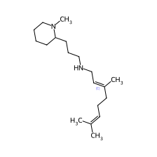 CC(C)=CCC/C(C)=C/CNCCCC1CCCCN1C